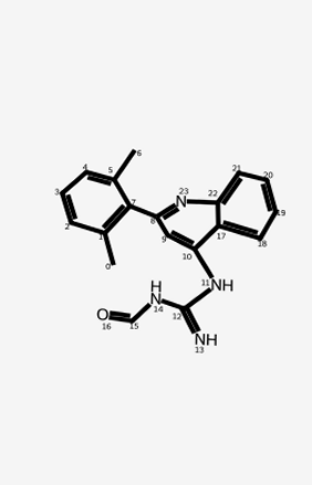 Cc1cccc(C)c1-c1cc(NC(=N)NC=O)c2ccccc2n1